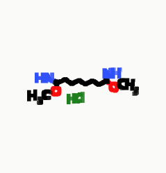 COC(=N)CCCCCCC(=N)OC.Cl